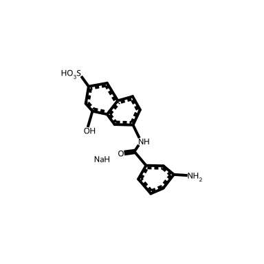 Nc1cccc(C(=O)Nc2ccc3cc(S(=O)(=O)O)cc(O)c3c2)c1.[NaH]